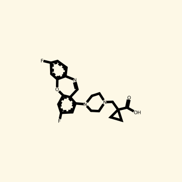 O=C(O)C1(CN2CCN(c3cc(F)cc4c3C=Nc3ccc(F)cc3O4)CC2)CC1